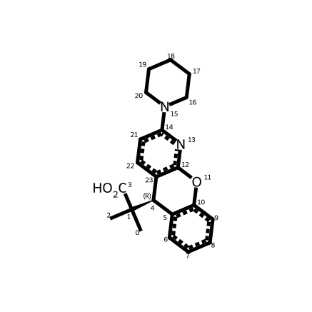 CC(C)(C(=O)O)[C@@H]1c2ccccc2Oc2nc(N3CCCCC3)ccc21